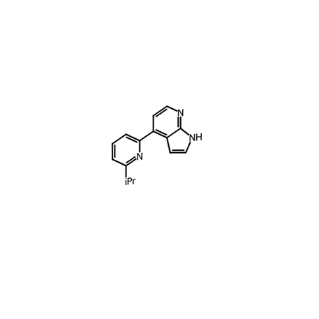 CC(C)c1cccc(-c2ccnc3[nH]ccc23)n1